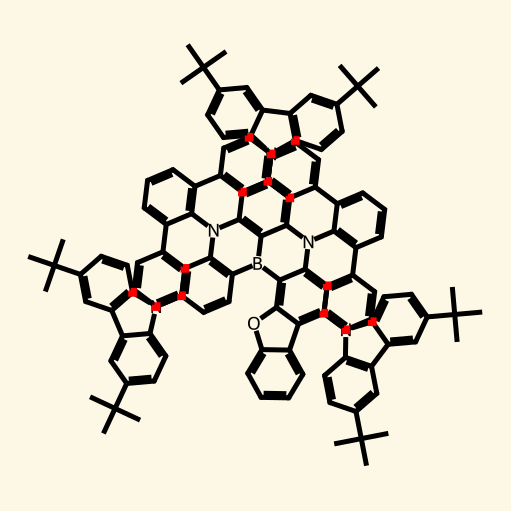 CC(C)(C)c1ccc2c(c1)c1cc(C(C)(C)C)ccc1n2-c1ccc2c(c1)N(c1c(-c3ccccc3)cccc1-c1ccccc1)c1cc(-n3c4ccc(C(C)(C)C)cc4c4cc(C(C)(C)C)ccc43)cc3c1B2c1c(cc(-n2c4ccc(C(C)(C)C)cc4c4cc(C(C)(C)C)ccc42)c2c1oc1ccccc12)N3c1c(-c2ccccc2)cccc1-c1ccccc1